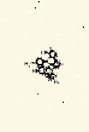 CC1CCC(CN2c3c(ccnc3-c3cncc(Cl)c3)N(c3noc(=O)[nH]3)C2N2CCNC[C@H]2C)CC1